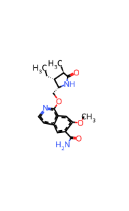 CC[C@H]1[C@@H](COc2nccc3cc(C(N)=O)c(OC)cc23)NC(=O)[C@@H]1C